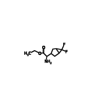 CCOC(=O)C(N)C1CC2C(C1)C2(F)F